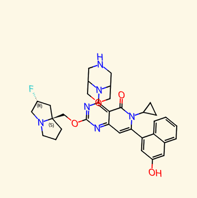 O=c1c2c(N3C4CNCC3COC4)nc(OC[C@@]34CCCN3C[C@H](F)C4)nc2cc(-c2cc(O)cc3ccccc23)n1C1CC1